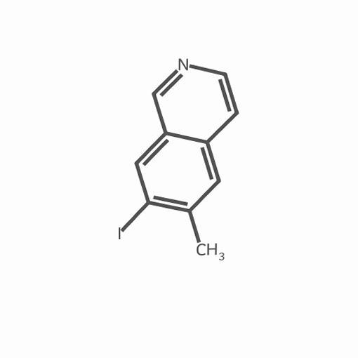 Cc1cc2ccncc2cc1I